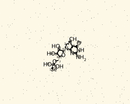 CN1CN([C@@H]2O[C@H](COP(O)(O)=[Se])[C@@H](O)[C@H]2O)c2nc(N)[nH]c(=O)c21